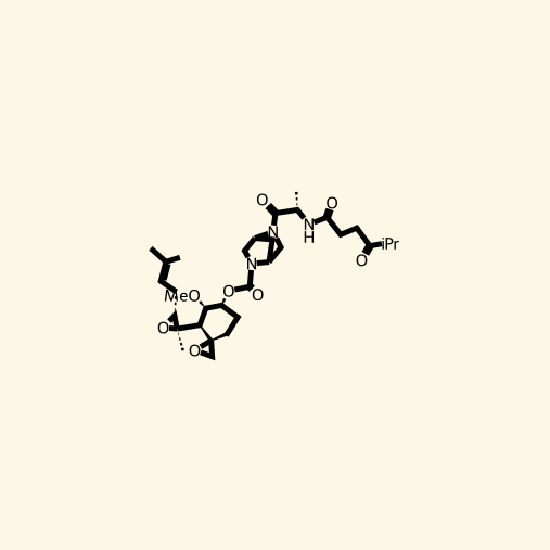 CO[C@@H]1[C@H](OC(=O)N2CC3CC2CN3C(=O)[C@H](C)NC(=O)CCC(=O)C(C)C)CC[C@]2(CO2)[C@H]1[C@@]1(C)O[C@@H]1CC=C(C)C